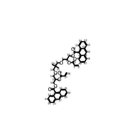 C=CC(=O)OC(COCC(C)(C)COCC(COC(=O)c1c2ccccc2cc2ccccc12)OC(=O)C=C)COC(=O)c1c2ccccc2cc2ccccc12